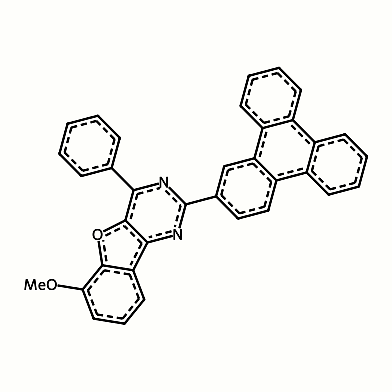 COc1cccc2c1oc1c(-c3ccccc3)nc(-c3ccc4c5ccccc5c5ccccc5c4c3)nc12